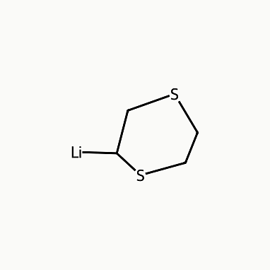 [Li][CH]1CSCCS1